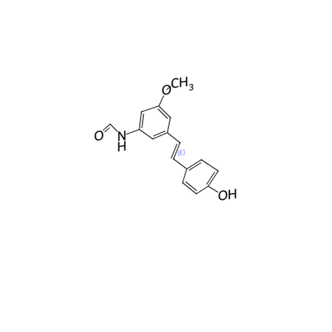 COc1cc(/C=C/c2ccc(O)cc2)cc(NC=O)c1